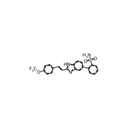 NS(=O)(=O)c1ccccc1-c1ccc2[nH]c(C=Cc3ccc(OC(F)(F)F)cc3)nc2c1